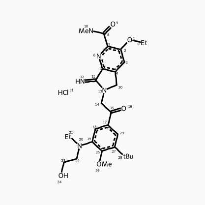 CCOc1cc2c(nc1C(=O)NC)C(=N)N(CC(=O)c1cc(N(CC)CCO)c(OC)c(C(C)(C)C)c1)C2.Cl